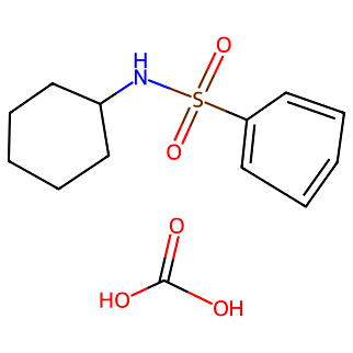 O=C(O)O.O=S(=O)(NC1CCCCC1)c1ccccc1